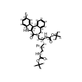 CC(C)(C)OC(=O)NC[C@H](F)C[C@H](CN1Cc2ccccc2-c2c([nH]c3ccc(F)cc23)C1=O)NC(=O)OC(C)(C)C